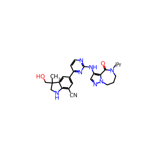 CC(C)N1CCCn2ncc(Nc3nccc(-c4cc(C#N)c5c(c4)C(C)(CO)CN5)n3)c2C1=O